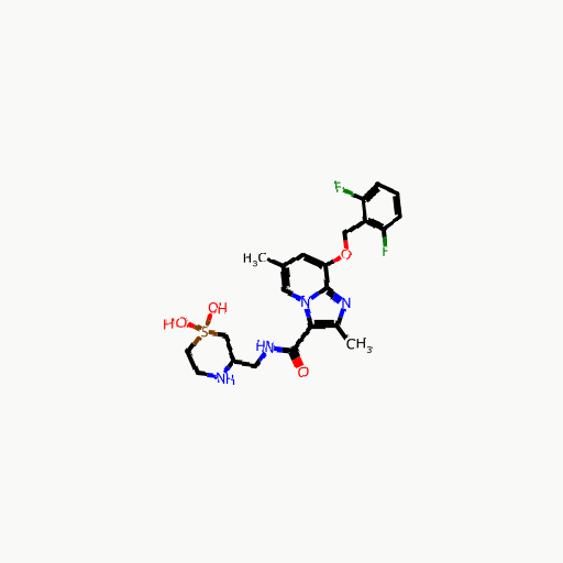 Cc1cc(OCc2c(F)cccc2F)c2nc(C)c(C(=O)NCC3CS(O)(O)CCN3)n2c1